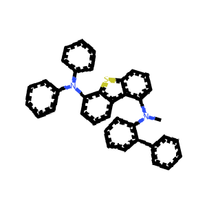 CN(c1ccccc1-c1ccccc1)c1cccc2sc3c(N(c4ccccc4)c4ccccc4)cccc3c12